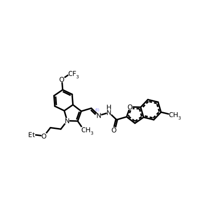 CCOCCN1C(C)=C(/C=N/NC(=O)c2cc3cc(C)ccc3o2)C2C=C(OC(F)(F)F)C=CC21